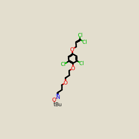 CC(C)(C)O/N=C/CCOCCCOc1c(Cl)cc(OCC=C(Cl)Cl)cc1Cl